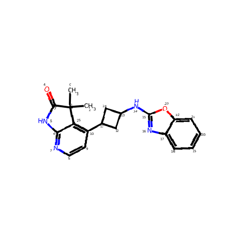 CC1(C)C(=O)Nc2nccc(C3CC(Nc4nc5ccccc5o4)C3)c21